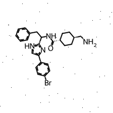 NC[C@H]1CC[C@H](C(=O)NC(Cc2ccccc2)c2nc(-c3ccc(Br)cc3)c[nH]2)CC1